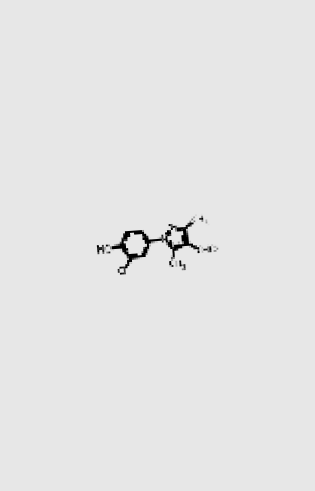 Cc1nn(-c2ccc(C#N)c(Cl)c2)c(C)c1C=O